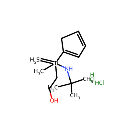 CC(C)(C)[NH][Ti]([CH3])(=[SiH2])([CH2]CO)[C]1=CC=CC1.Cl.Cl